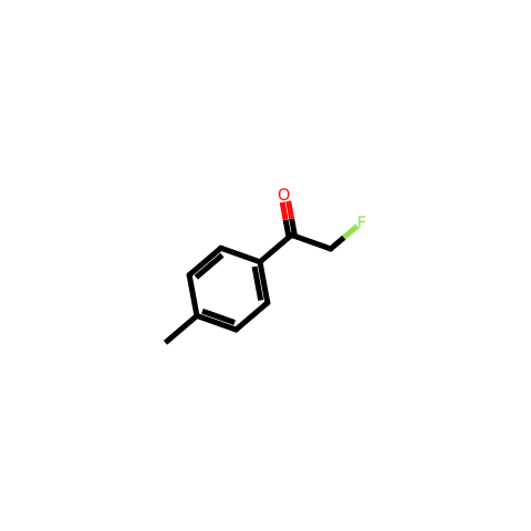 Cc1ccc(C(=O)CF)cc1